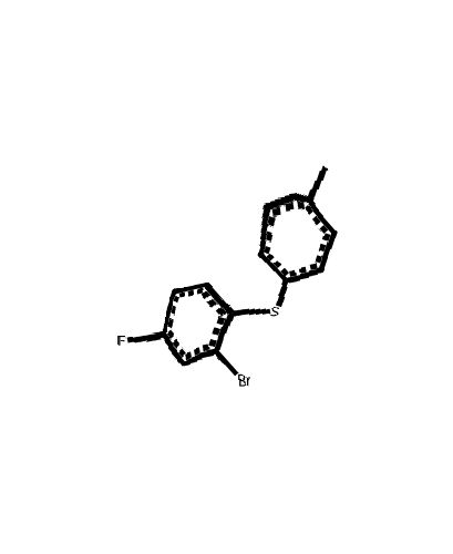 Cc1ccc(Sc2ccc(F)cc2Br)cc1